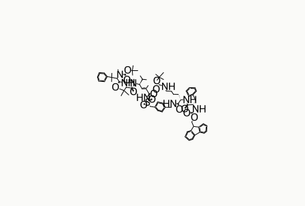 C/C(=C\[C@H](C(C)C)N(C)C(=O)[C@@H](NC(=O)[C@@H](N(C)C(=O)OC(C)(C)C)C(C)(C)c1ccccc1)C(C)(C)C)C(=O)NS(=O)(=O)Cc1ccc(CNC(=O)[C@H](CCCCNC(=O)OC(C)(C)C)NC(=O)[C@H](Cc2ccccc2)NC(=O)OCC2c3ccccc3-c3ccccc32)cc1